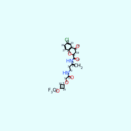 C=C(CCNC(=O)CO[C@H]1C[C@@H](OC(F)(F)F)C1)NC(=O)C1CC(=O)c2cc(Cl)ccc2O1